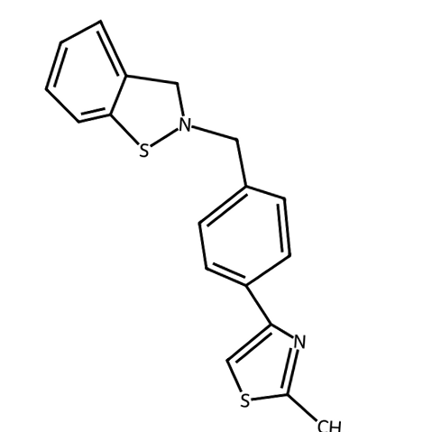 Cc1nc(-c2ccc(CN3Cc4ccccc4S3)cc2)cs1